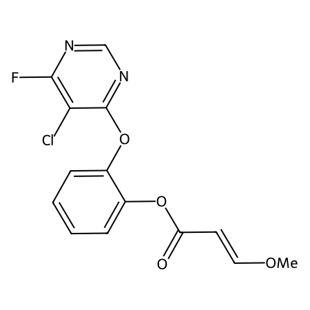 COC=CC(=O)Oc1ccccc1Oc1ncnc(F)c1Cl